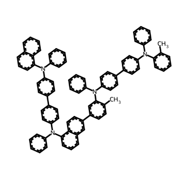 Cc1ccccc1N(c1ccccc1)c1ccc(-c2ccc(N(c3ccccc3)c3cc(-c4ccc5c(N(c6ccccc6)c6ccc(-c7ccc(N(c8ccccc8)c8cccc9ccccc89)cc7)cc6)cccc5c4)ccc3C)cc2)cc1